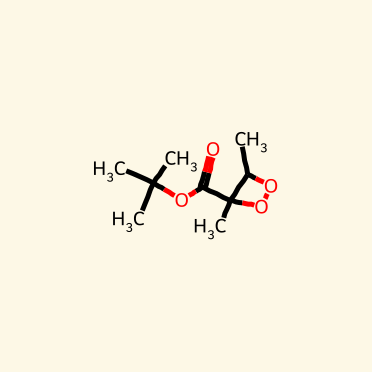 CC1OOC1(C)C(=O)OC(C)(C)C